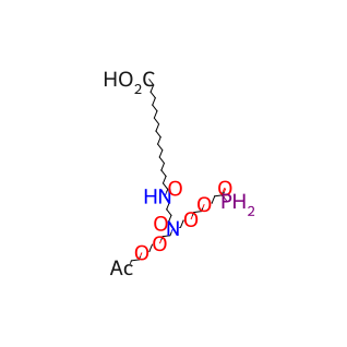 CC(=O)CCOCCOCCN(CCOCCOCCC(=O)P)C(=O)CCCNC(=O)CCCCCCCCCCCCCCCCC(=O)O